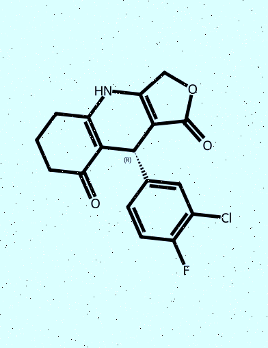 O=C1CCCC2=C1[C@@H](c1ccc(F)c(Cl)c1)C1=C(COC1=O)N2